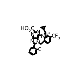 C[C@@H](Nc1nc(C(=O)O)nc2nc(-c3ccccc3Cl)n(Cc3ccc(C(F)(F)F)cc3)c12)C1CC1